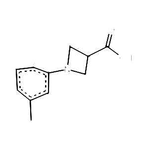 Cc1cccc(N2CC(C(=O)O)C2)c1